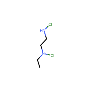 CCN(Cl)CCNCl